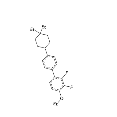 CCOc1ccc(-c2ccc(C3CCC(CC)(CC)CC3)cc2)c(F)c1F